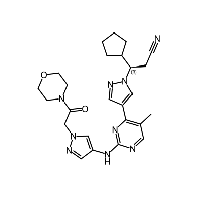 Cc1cnc(Nc2cnn(CC(=O)N3CCOCC3)c2)nc1-c1cnn([C@H](CC#N)C2CCCC2)c1